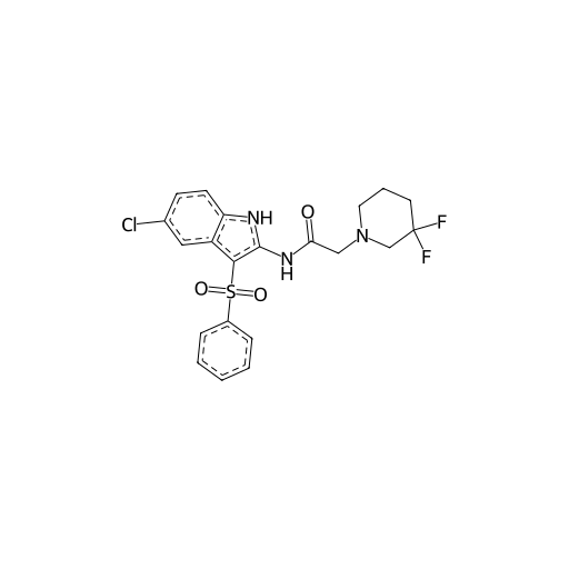 O=C(CN1CCCC(F)(F)C1)Nc1[nH]c2ccc(Cl)cc2c1S(=O)(=O)c1ccccc1